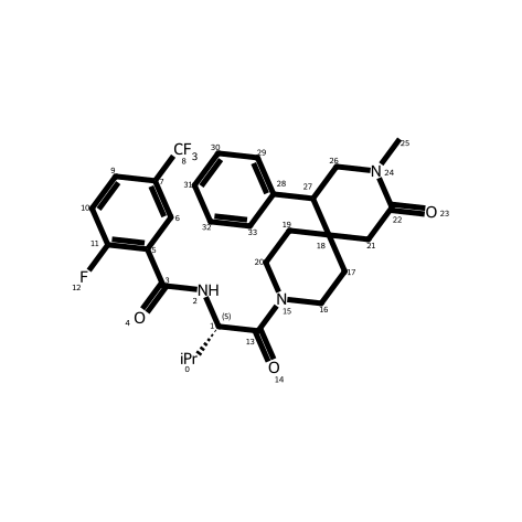 CC(C)[C@H](NC(=O)c1cc(C(F)(F)F)ccc1F)C(=O)N1CCC2(CC1)CC(=O)N(C)CC2c1ccccc1